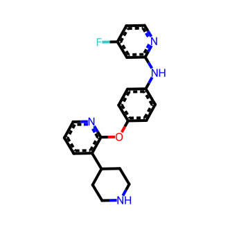 Fc1ccnc(Nc2ccc(Oc3ncccc3C3CCNCC3)cc2)c1